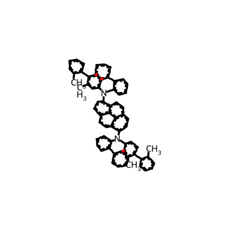 Cc1ccccc1-c1ccc(N(c2ccccc2-c2ccccc2)c2ccc3ccc4c(N(c5ccc(-c6ccccc6C)c(C)c5)c5ccccc5-c5ccccc5)ccc5ccc2c3c54)cc1C